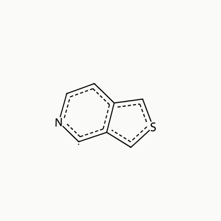 [c]1nccc2cscc12